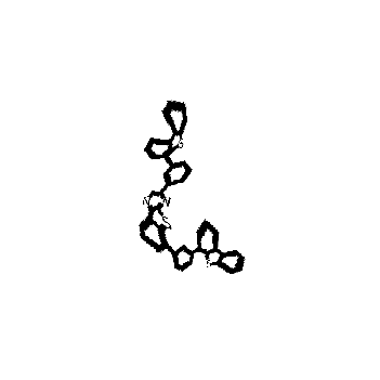 c1cc(-c2cnc3c(n2)sc2c(-c4cccc(-c5cccc6c5sc5ccccc56)c4)cccc23)cc(-c2cccc3c2sc2ccccc23)c1